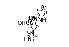 CC(C)(C)OC=O.O=C(Nc1ccc(Br)cc1)c1ccc(N2CCNCC2)cc1